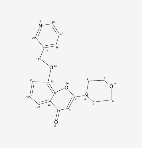 O=c1cc(N2CCOCC2)oc2c(OCc3cccnc3)cccc12